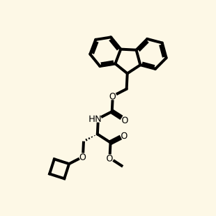 COC(=O)[C@H](COC1CCC1)NC(=O)OCC1c2ccccc2-c2ccccc21